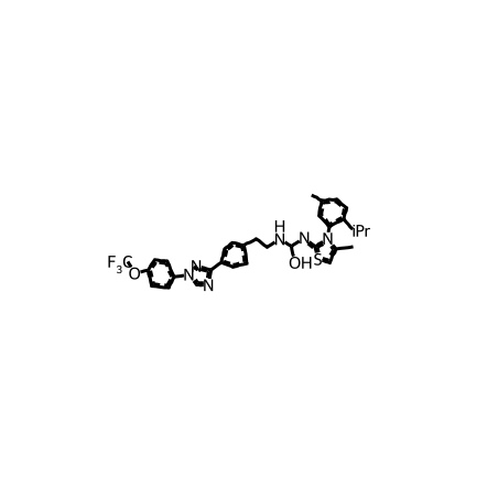 Cc1ccc(C(C)C)c(-n2c(C)cs/c2=N\C(O)NCCc2ccc(-c3ncn(-c4ccc(OC(F)(F)F)cc4)n3)cc2)c1